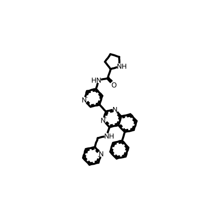 O=C(Nc1cncc(-c2nc(NCc3ccccn3)c3c(-c4ccccc4)cccc3n2)c1)C1CCCN1